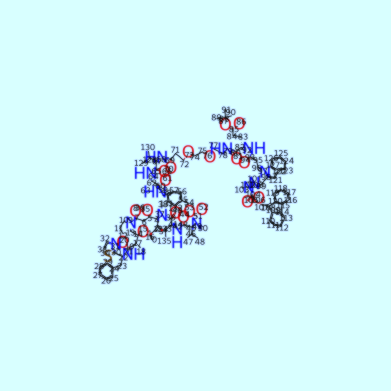 CC[C@H](C)[C@@H]([C@@H](CC(=O)N1CCC[C@H]1[C@H](OC)[C@@H](C)C(=O)N[C@@H](Cc1ccccc1)c1nccs1)OC)N(C)C(=O)[C@@H](NC(=O)[C@H](C(C)C)N(C)C(=O)OCc1ccc(NC(=O)[C@H](C)NC(=O)[C@@H](NC(=O)CCOCCOCCNC(=O)[C@H](CCC(=O)OC(C)(C)C)NC(=O)CCn2c(CN(C)N(C)C(=O)OCC3c4ccccc4-c4ccccc43)cc3ccccc32)C(C)C)cc1)C(C)C